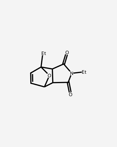 CCN1C(=O)C2C3C=CC(CC)(O3)C2C1=O